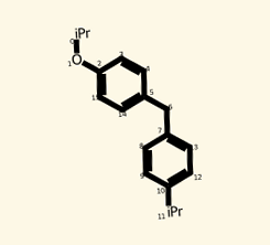 CC(C)Oc1ccc(Cc2ccc(C(C)C)cc2)cc1